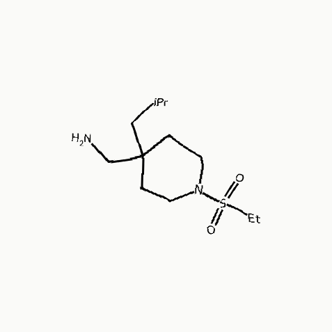 CCS(=O)(=O)N1CCC(CN)(CC(C)C)CC1